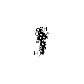 C[C@H]1CCc2c(N3CCC(OC(=O)CN)CC3)c(F)cc3c(=O)c(C(=O)O)cn1c23